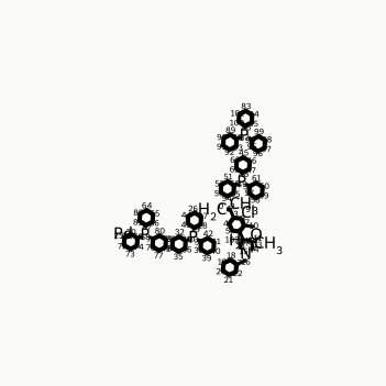 C=C(C)c1ccc2c(c1Cl)CO[C@@]1(C)CN(Cc3ccccc3)C[C@@H]21.[Pd].c1ccc(P(c2ccccc2)c2ccccc2)cc1.c1ccc(P(c2ccccc2)c2ccccc2)cc1.c1ccc(P(c2ccccc2)c2ccccc2)cc1.c1ccc(P(c2ccccc2)c2ccccc2)cc1